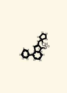 CC1(CC2=Cc3c(-c4ccccc4)cccc3[CH]2[Zr])CCCC1